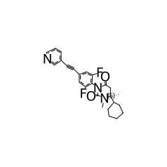 CN1C(=O)N(c2c(F)cc(C#Cc3cccnc3)cc2F)C(=O)C[C@@]1(C)C1CCCCC1